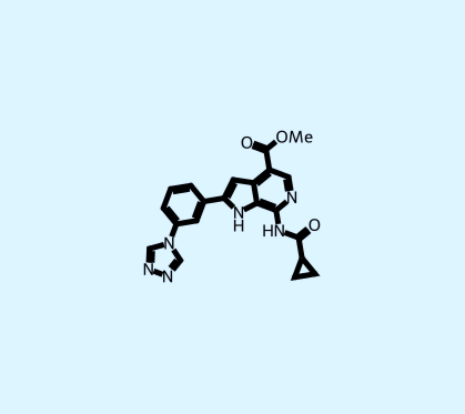 COC(=O)c1cnc(NC(=O)C2CC2)c2[nH]c(-c3cccc(-n4cnnc4)c3)cc12